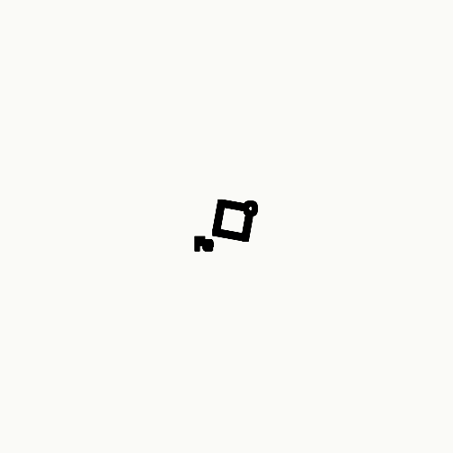 C1COC1.[Fe]